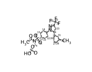 CC(=O)N(COC(=O)O)S(=O)(=O)c1ccc(-n2nc(C(F)(F)F)cc2-c2cccc(C)c2)cc1